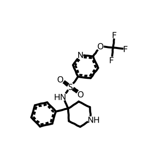 O=S(=O)(NC1(c2ccccc2)CCNCC1)c1ccc(OC(F)(F)F)nc1